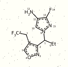 CCC(c1nocc1CC(F)(F)F)n1cc(N)c(F)n1